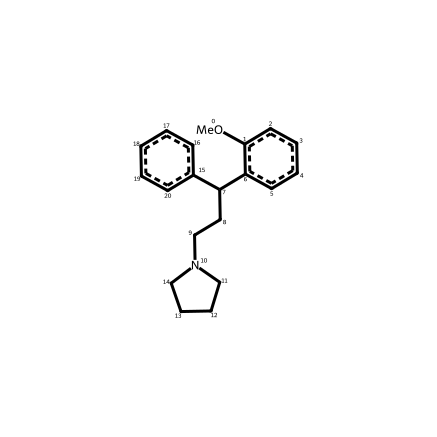 COc1ccccc1C(CCN1CCCC1)c1ccccc1